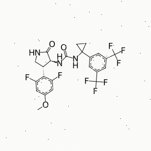 COc1cc(F)c([C@@H]2CNC(=O)[C@H]2NC(=O)NC2(c3cc(C(F)(F)F)cc(C(F)(F)F)c3)CC2)c(F)c1